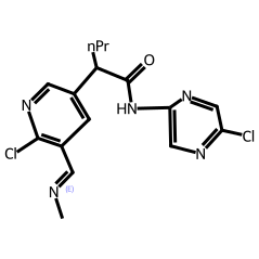 CCCC(C(=O)Nc1cnc(Cl)cn1)c1cnc(Cl)c(/C=N/C)c1